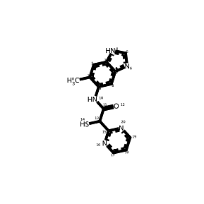 Cc1cc2[nH]cnc2cc1NC(=O)C(S)c1ncccn1